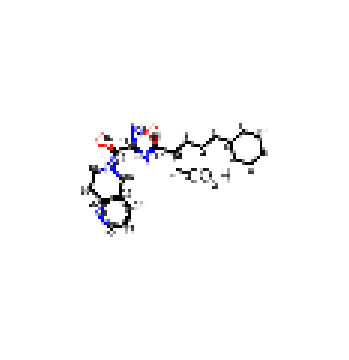 O=C(O)C[C@@H](CCCC1CCCCC1)c1nc(C(=O)N2CCc3ncccc3C2)no1